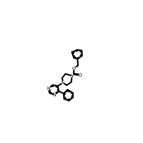 O=C(OCc1ccccc1)N1CCN(c2cncnc2-c2ccccc2)CC1